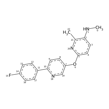 CNc1ccc(Oc2ccc(-c3ccc(F)cc3)nc2)nc1C